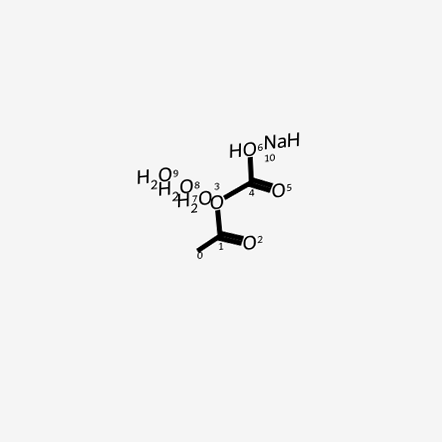 CC(=O)OC(=O)O.O.O.O.[NaH]